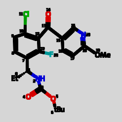 CC[C@@H](NC(=O)OC(C)(C)C)c1ccc(Cl)c(C(=O)c2ccc(OC)nc2)c1F